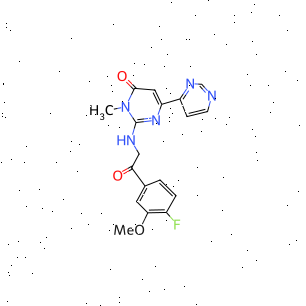 COc1cc(C(=O)CNc2nc(-c3ccncn3)cc(=O)n2C)ccc1F